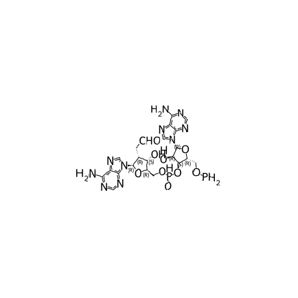 Nc1ncnc2c1ncn2[C@@H]1O[C@H](COP)[C@@H](O[PH](=O)OC[C@H]2O[C@@H](n3cnc4c(N)ncnc43)[C@H](CC=O)[C@@H]2O)[C@H]1O